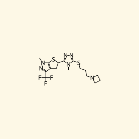 Cn1nc(C(F)(F)F)c2c1SC(c1nnc(SCCCN3CCC3)n1C)C2